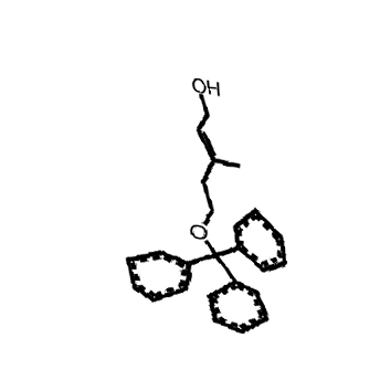 C/C(=C\CO)CCOC(c1ccccc1)(c1ccccc1)c1ccccc1